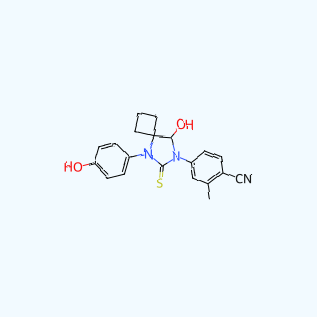 Cc1cc(N2C(=S)N(c3ccc(O)cc3)C3(CCC3)C2O)ccc1C#N